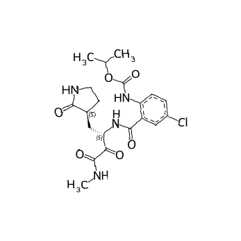 CNC(=O)C(=O)[C@H](C[C@@H]1CCNC1=O)NC(=O)c1cc(Cl)ccc1NC(=O)OC(C)C